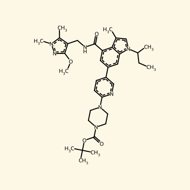 CCC(C)n1cc(C)c2c(C(=O)NCc3c(OC)nn(C)c3C)cc(-c3ccc(N4CCN(C(=O)OC(C)(C)C)CC4)nc3)cc21